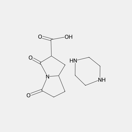 C1CNCCN1.O=C(O)C1CC2CCC(=O)N2C1=O